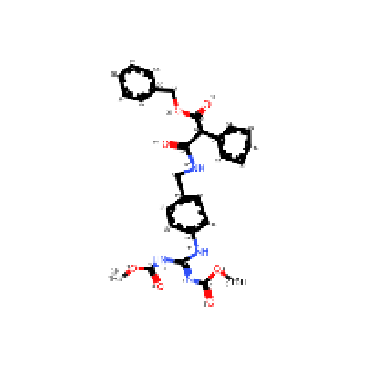 CC(C)(C)OC(=O)N=C(NC(=O)OC(C)(C)C)Nc1ccc(CNC(=O)C(C(=O)OCc2ccccc2)c2ccccc2)cc1